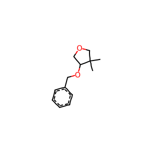 CC1(C)COCC1OCc1ccccc1